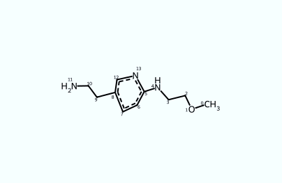 COCCNc1ccc(CCN)cn1